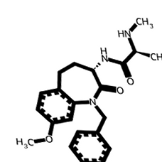 CN[C@@H](C)C(=O)N[C@H]1CCc2ccc(OC)cc2N(Cc2ccccc2)C1=O